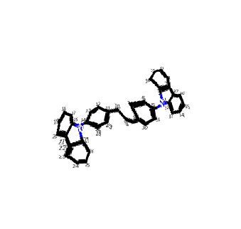 C1=Cc2c(n(-c3ccc(CCc4ccc(-n5c6ccccc6c6ccccc65)cc4)cc3)c3ccccc23)CC1